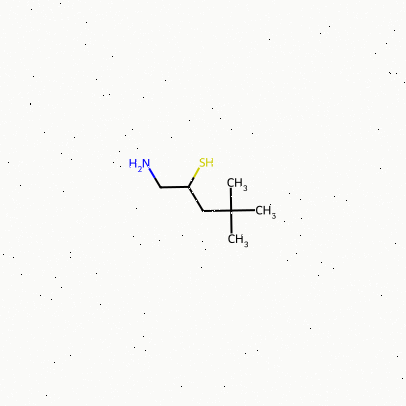 CC(C)(C)CC(S)CN